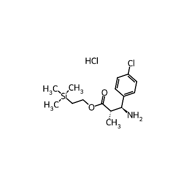 C[C@H](C(=O)OCC[Si](C)(C)C)[C@H](N)c1ccc(Cl)cc1.Cl